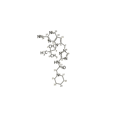 CC(C)(C)Cn1c(Cn2cnc(NC(=O)CN3CCCCC3)n2)cc2cnc(C#N)nc21